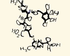 Cc1cc(SCC2=C(C(=O)O)N3C(=O)C(NC(=O)/C(=N\OCc4cc(Cl)c(O)c(O)c4Cl)c4csc(N)n4)C3SC2)n2nc(C(=O)NO)nc2n1